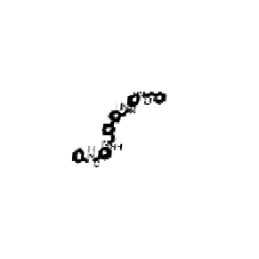 O=C(CC1CCCCC1)Nc1ccc2[nH]c(Cc3cccc(-c4cccc(Cc5nc6cc(C(=O)NCC7CCCCC7)ccc6[nH]5)c4)c3)nc2c1